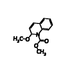 COC(=O)N1c2ccccc2C=CC1OC